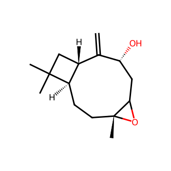 C=C1[C@H](O)CC2O[C@]2(C)CC[C@@H]2[C@@H]1CC2(C)C